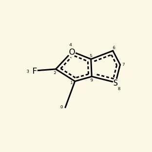 Cc1c(F)oc2ccsc12